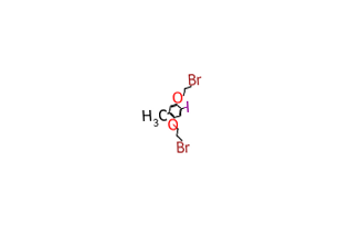 Cc1cc(OCCCBr)c(I)cc1OCCCBr